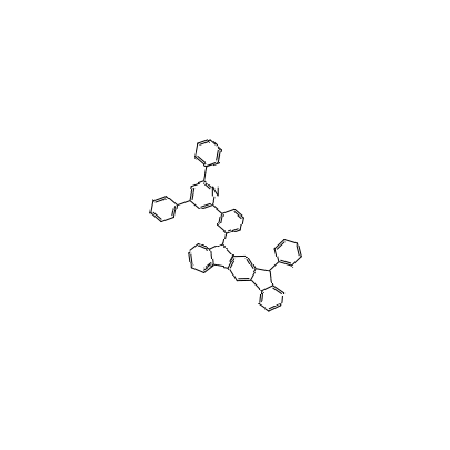 c1ccc(-c2cc(-c3ccccc3)nc(-c3cccc(C4c5ccccc5-c5cc6c(cc54)C(c4ccccc4)c4ccccc4-6)c3)c2)cc1